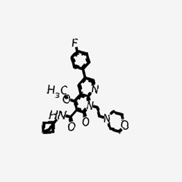 COc1c(C(=O)NC23CC(C2)C3)c(=O)n(CCN2CCOCC2)c2ncc(-c3ccc(F)cc3)cc12